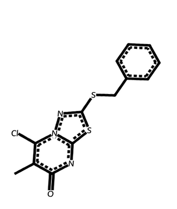 Cc1c(Cl)n2nc(SCc3ccccc3)sc2nc1=O